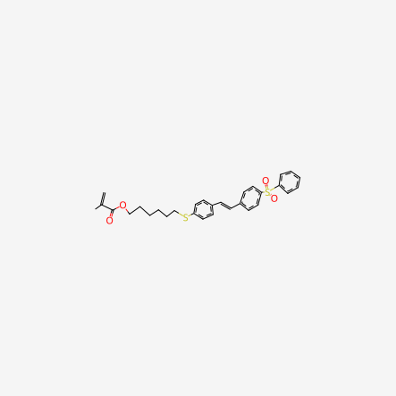 C=C(C)C(=O)OCCCCCCSc1ccc(C=Cc2ccc(S(=O)(=O)c3ccccc3)cc2)cc1